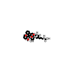 COc1ccccc1C(c1ccccc1)(c1ccccc1OC)C(O)[C@H]1O[C@@H](n2cc(/C=C/CNC(=O)O)c(=O)[nH]c2=O)C[C@@H]1O